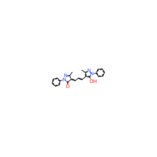 CC1=NN(c2ccccc2)C(=O)/C1=C/C=C/c1c(C)nn(-c2ccccc2)c1O